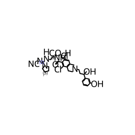 C[C@H]1CCN(/C(=N\C#N)NC[C@H](NC(=O)c2c(Cl)cc3c(c2Cl)CCN(CCC(O)c2cccc(O)c2)C3)C(=O)O)C1